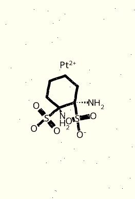 N[C@]1(S(=O)(=O)[O-])CCCC[C@@]1(N)S(=O)(=O)[O-].[Pt+2]